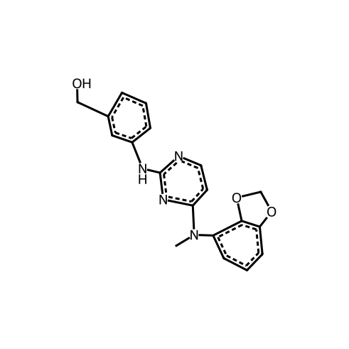 CN(c1ccnc(Nc2cccc(CO)c2)n1)c1cccc2c1OCO2